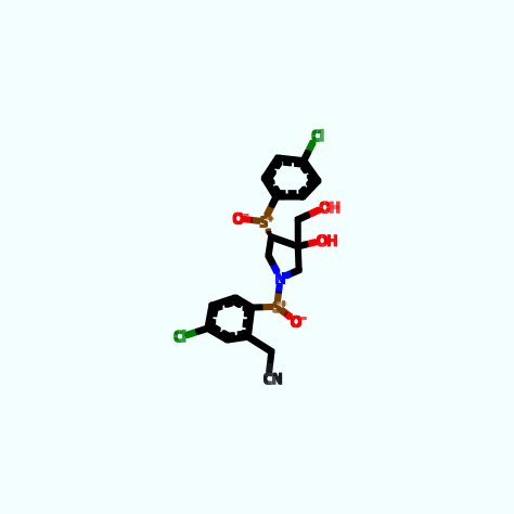 N#CCc1cc(Cl)ccc1[S+]([O-])N1C[C@H]([S+]([O-])c2ccc(Cl)cc2)C(O)(CO)C1